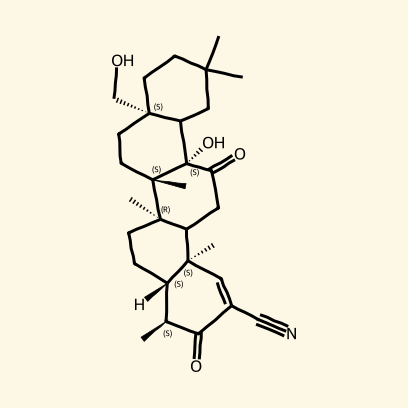 C[C@@H]1C(=O)C(C#N)=C[C@]2(C)C3CC(=O)[C@]4(O)C5CC(C)(C)CC[C@]5(CO)CC[C@@]4(C)[C@]3(C)CC[C@@H]12